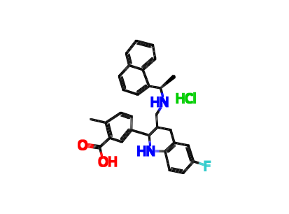 Cc1ccc(C2Nc3ccc(F)cc3CC2CN[C@H](C)c2cccc3ccccc23)cc1C(=O)O.Cl